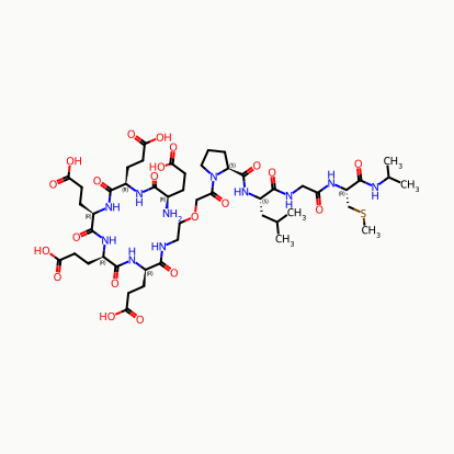 CSC[C@H](NC(=O)CNC(=O)[C@H](CC(C)C)NC(=O)[C@@H]1CCCN1C(=O)COCCNC(=O)[C@@H](CCC(=O)O)NC(=O)[C@@H](CCC(=O)O)NC(=O)[C@@H](CCC(=O)O)NC(=O)[C@@H](CCC(=O)O)NC(=O)[C@H](N)CCC(=O)O)C(=O)NC(C)C